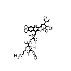 CCC(C=O)C1C=C2c3nc4cc5c(cc4c(CNC(=O)CNC(=O)C(CCCCN)NC(=O)CNC=O)c3CN2C(=O)C1COC)OCO5